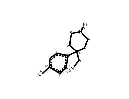 CCN1CCC(CN)(c2ccc(Cl)cc2)CC1